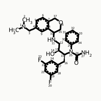 CN(C)Cc1ccc2c(c1)C(NC[C@H](O)[C@H](Cc1cc(F)cc(F)c1)N(C(N)=O)c1ccccc1)COC2